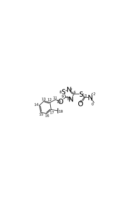 CN(C)C(=O)Sc1nsc(OCc2ccccc2I)n1